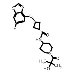 CC(C)(O)C(=O)N1CCC(NC(=O)[C@H]2C[C@H](Oc3cc(F)cc4scnc34)C2)CC1